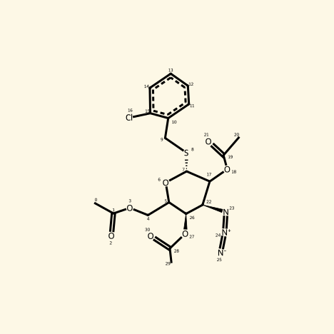 CC(=O)OCC1O[C@H](SCc2ccccc2Cl)C(OC(C)=O)[C@@H](N=[N+]=[N-])[C@H]1OC(C)=O